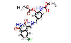 COC(=O)Nc1ccc(CN/C=C2\C(=O)NC(=O)c3ccc(Br)cc32)cc1OC(=O)OC